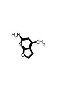 Cc1cc(N)nc2c1CCO2